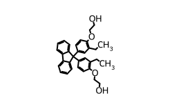 CCc1cc(C2(c3ccc(OCCO)c(CC)c3)c3ccccc3-c3ccccc32)ccc1OCCO